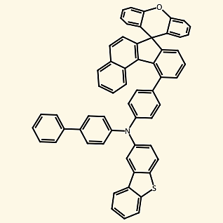 c1ccc(-c2ccc(N(c3ccc(-c4cccc5c4-c4c(ccc6ccccc46)C54c5ccccc5Oc5ccccc54)cc3)c3ccc4sc5ccccc5c4c3)cc2)cc1